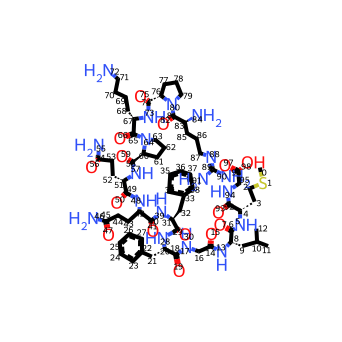 CSCC[C@H](NC(=O)[C@H](CC(C)C)NC(=O)CNC(=O)[C@H](Cc1ccccc1)NC(=O)[C@H](Cc1ccccc1)NC(=O)C(CCC(N)=O)NC(=O)[C@H](CCC(N)=O)NC(=O)[C@@H]1CCCN1C(=O)[C@H](CCCCN)NC(=O)[C@@H]1CCCN1C(=O)[C@@H](N)CCCN=C(N)N)C(=O)NCC(=O)O